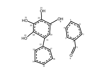 O=Cc1ccccc1.Oc1cc(-c2ccccc2)c(O)c(O)c1O